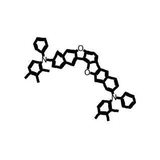 Cc1ccc(N(c2ccccc2)c2ccc3cc4c(cc3c2)oc2c4ccc3oc4cc5cc(N(c6ccccc6)c6ccc(C)c(C)c6C)ccc5cc4c32)c(C)c1C